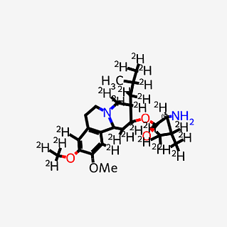 [2H]c1c2c(c([2H])c(OC)c1OC([2H])([2H])[2H])C1N(CC2)C([2H])([2H])C([2H])(C([2H])([2H])C([2H])(C)C([2H])([2H])[2H])C([2H])(OC(=O)[C@@]([2H])(N)C([2H])(C([2H])([2H])[2H])C([2H])([2H])[2H])C1([2H])[2H]